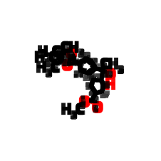 COC(=O)C1CCC(C(C)(O)c2ccc(B3OC(C)(C)C(C)(C)O3)cc2)CC1